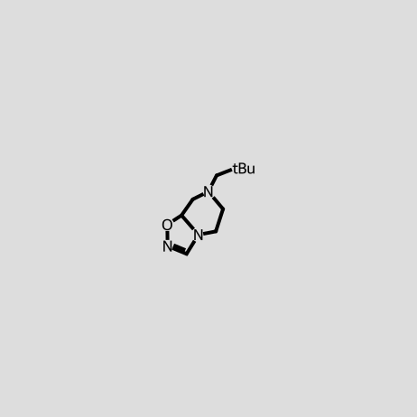 CC(C)(C)CN1CCN2C=NOC2C1